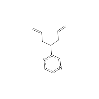 C=CCC(CC=C)c1cnccn1